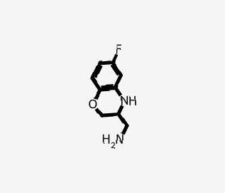 NCC1COc2ccc(F)cc2N1